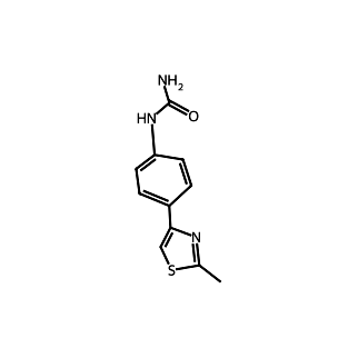 Cc1nc(-c2ccc(NC(N)=O)cc2)cs1